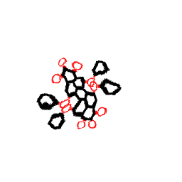 O=C1C(=O)c2cc(Oc3ccccc3)c3c4c(Oc5ccccc5)cc5c6c(cc(Oc7ccccc7)c(c7c(Oc8ccccc8)cc(c2c37)C1=O)c64)C(=O)C(=O)C5=O